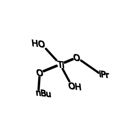 CCCC[O][Ti]([OH])([OH])[O]C(C)C